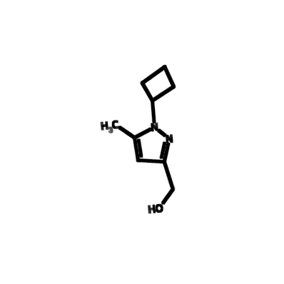 Cc1cc(CO)nn1C1CCC1